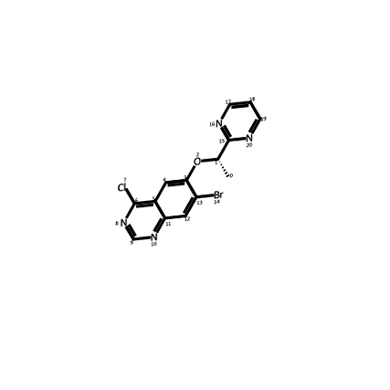 C[C@H](Oc1cc2c(Cl)ncnc2cc1Br)c1ncccn1